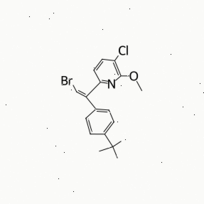 COc1nc(/C(=C\Br)c2ccc(C(C)(C)C)cc2)ccc1Cl